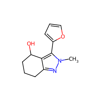 Cn1nc2c(c1-c1ccco1)C(O)CCC2